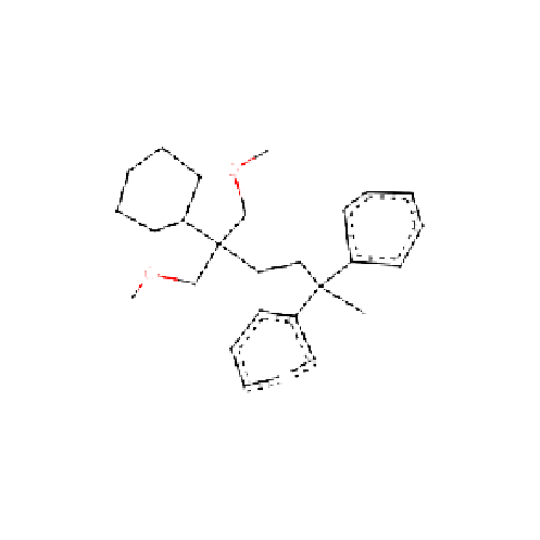 COCC(CCC(C)(c1ccccc1)c1ccccc1)(COC)C1CCCCC1